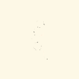 COc1ccc2c(c1)C(=O)C(=Cc1ccccc1)C2